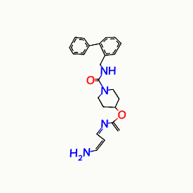 C=C(/N=C\C=C/N)OC1CCN(C(=O)NCc2ccccc2-c2ccccc2)CC1